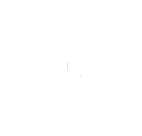 O=C(CCl)OCl.[AlH3]